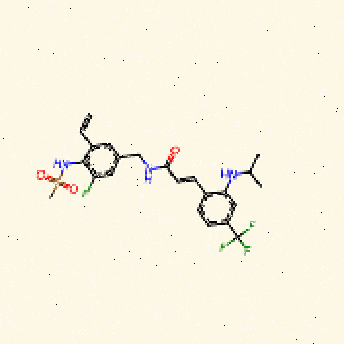 C=Cc1cc(CNC(=O)C=Cc2ccc(C(F)(F)F)cc2NC(C)C)cc(F)c1NS(C)(=O)=O